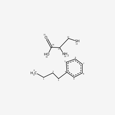 CCCCc1ccccc1.NC(CS)C(=O)O